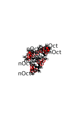 CCCCCCCC[Si](C)(C)O[Si](CC[Si](C)(C)O[Si](CC[Si](C)(C)O[SiH3])(O[Si](C)(C)CC[Si](O[SiH](C)C)(O[Si](C)(C)CCCCCCCC)O[Si](C)(C)CCCCCCCC)O[Si](C)(C)CC[Si](O[Si](C)(C)CCCCCCCC)(O[Si](C)(C)CCCCCCCC)O[Si](C)(C)CCCCCCCC)(O[SiH](C)C)O[Si](C)(C)CCCCCCCC